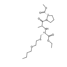 CCCCOCCSC[C@H](NC(C)C(=O)N1CCC[C@H]1C(=O)OC)C(=O)OCC